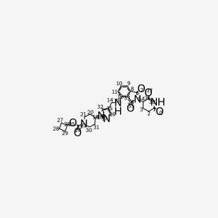 O=C1CCC(N2C(=O)c3cccc(NCc4cnn(C5CCN(C(=O)OC6CCC6)CC5)c4)c3C2=O)C(=O)N1